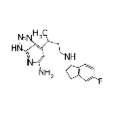 CC(CCN[C@H]1CCc2cc(F)ccc21)c1cc(N)nc2[nH]nnc12